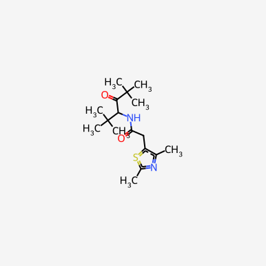 Cc1nc(C)c(CC(=O)NC(C(=O)C(C)(C)C)C(C)(C)C)s1